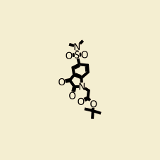 CN(C)S(=O)(=O)c1ccc2c(c1)C(=O)C(=O)N2CC(=O)OC(C)(C)C